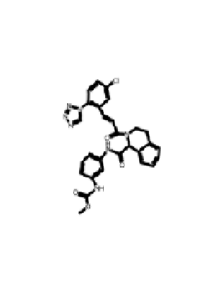 COC(=O)Nc1cccc(NC(=O)C2c3ccccc3CCN2C(=O)/C=C/c2cc(Cl)ccc2-n2cnnn2)c1